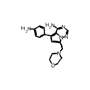 Nc1ccc(-c2cc(CN3CCOCC3)n3ncnc(N)c23)cc1